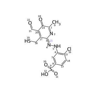 CC1=N/C(=N\Nc2cc(S(=O)(=O)O)ccc2Cl)C(CS)=C(C=O)C1=O